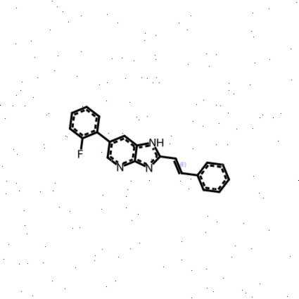 Fc1ccccc1-c1cnc2nc(/C=C/c3ccccc3)[nH]c2c1